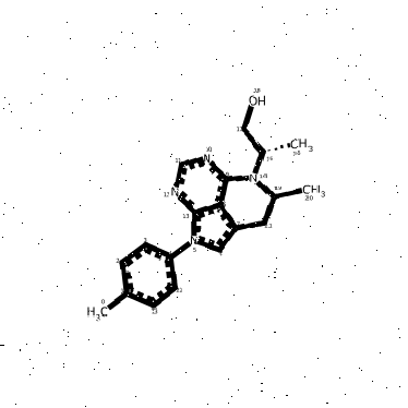 Cc1ccc(-n2cc3c4c(ncnc42)N([C@@H](C)CO)C(C)C3)cc1